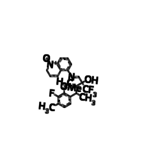 COc1c(C(C)C(C)C(O)(C=Nc2cccc3c2C=CC[N+]3=O)C(F)(F)F)ccc(C)c1F